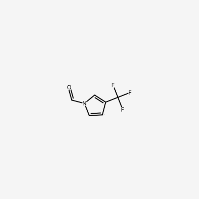 O=Cn1c[c]c(C(F)(F)F)c1